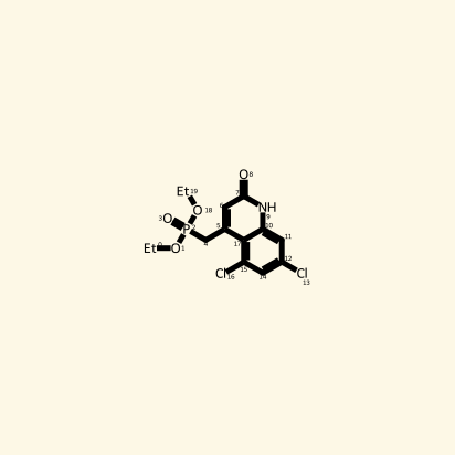 CCOP(=O)(Cc1cc(=O)[nH]c2cc(Cl)cc(Cl)c12)OCC